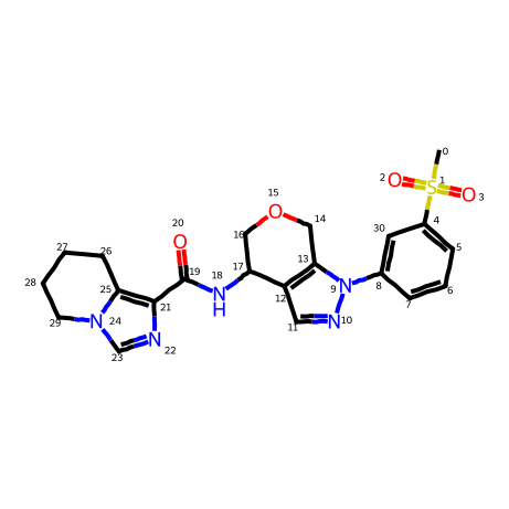 CS(=O)(=O)c1cccc(-n2ncc3c2COCC3NC(=O)c2ncn3c2CCCC3)c1